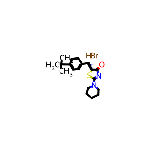 Br.CC(C)(C)c1ccc(/C=C2\SC(N3CCCCC3)=NC2=O)cc1